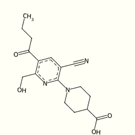 CCCC(=O)c1cc(C#N)c(N2CCC(C(=O)O)CC2)nc1CO